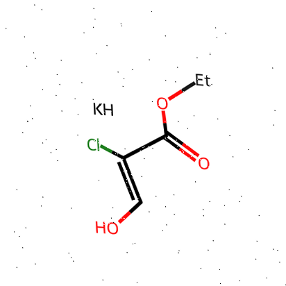 CCOC(=O)/C(Cl)=C/O.[KH]